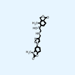 Cc1c([C@@H](O)CNCc2cn(-c3ccc4oc(=O)n(C)c4c3)nn2)ccc2c1COC2=O